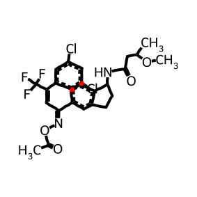 COC(C)CC(=O)NC1CCc2cc(C(/C=C(\c3cc(Cl)cc(Cl)c3)C(F)(F)F)=N/OC(C)=O)ccc21